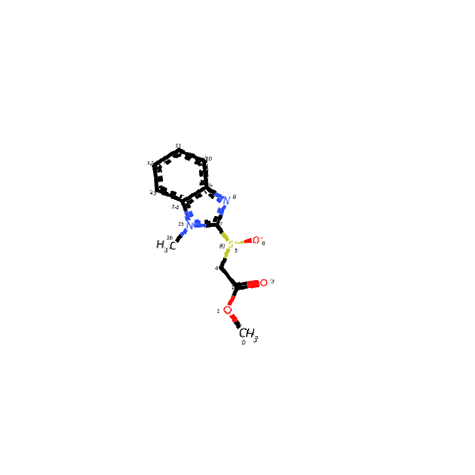 COC(=O)C[S@+]([O-])c1nc2ccccc2n1C